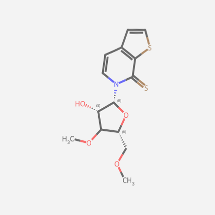 COC[C@H]1O[C@@H](n2ccc3ccsc3c2=S)[C@@H](O)C1OC